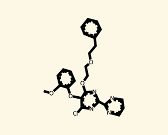 COc1ccccc1Oc1c(Cl)nc(-c2ncccn2)nc1OCCOCCc1ccccc1